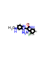 CNc1ccc2nc(-c3c(N)c4c(F)cccc4[nH]c3=O)[nH]c2c1